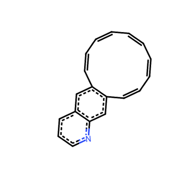 C1=CC=CC=Cc2cc3ncccc3cc2C=CC=C1